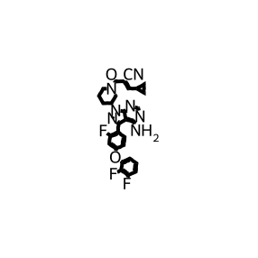 N#CC(=CC1CC1)C(=O)N1CCC[C@@H](n2nc(-c3ccc(Oc4cccc(F)c4F)cc3F)c3c(N)ncnc32)C1